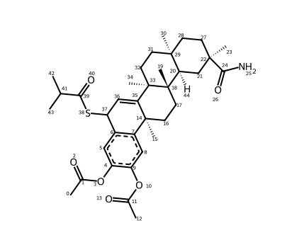 CC(=O)Oc1cc2c(cc1OC(C)=O)[C@]1(C)CC[C@@]3(C)[C@@H]4C[C@](C)(C(N)=O)CC[C@]4(C)CC[C@]3(C)C1=CC2SC(=O)C(C)C